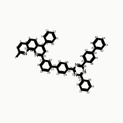 Cc1ccc2ccc3c(-c4ccccc4)cc(-c4cccc(-c5ccc(-c6nc(-c7ccccc7)nc(-c7ccc(-c8ccccc8)cc7)n6)cc5)c4)nc3c2n1